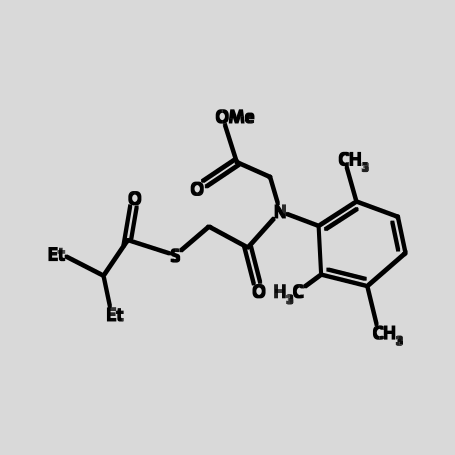 CCC(CC)C(=O)SCC(=O)N(CC(=O)OC)c1c(C)ccc(C)c1C